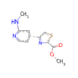 CNc1cc(-c2csc(C(=O)OC)n2)ccn1